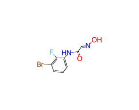 O=C(/C=N/O)Nc1cccc(Br)c1F